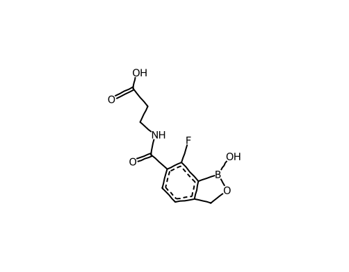 O=C(O)CCNC(=O)c1ccc2c(c1F)B(O)OC2